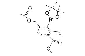 C=Cc1c(C(=O)OC)ccc(COC(C)=O)c1B1OC(C)(C)C(C)(C)O1